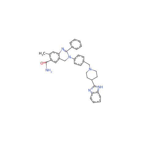 Cc1cc2c(cc1C(N)=O)CN(c1ccc(CN3CCC(c4nc5ccccc5[nH]4)CC3)cc1)C(c1ccccc1)=N2